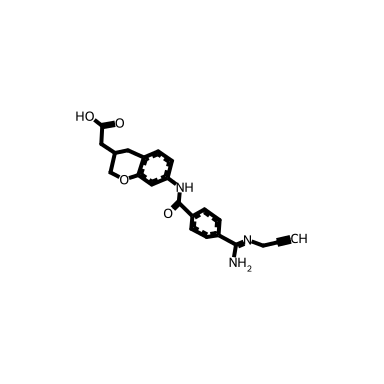 C#CCN=C(N)c1ccc(C(=O)Nc2ccc3c(c2)OCC(CC(=O)O)C3)cc1